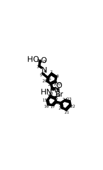 O=C(O)CN=Cc1ccc2onc(Nc3cccc(-c4ccccc4)c3Br)c2c1